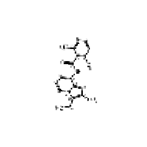 Cc1nc2c(NC(=O)c3c(Cl)cccc3Cl)cccn2c1CO